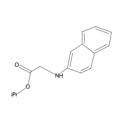 CC(C)OC(=O)CNc1ccc2ccccc2c1